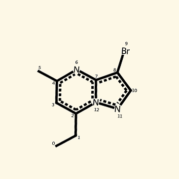 CCc1cc(C)nc2c(Br)cnn12